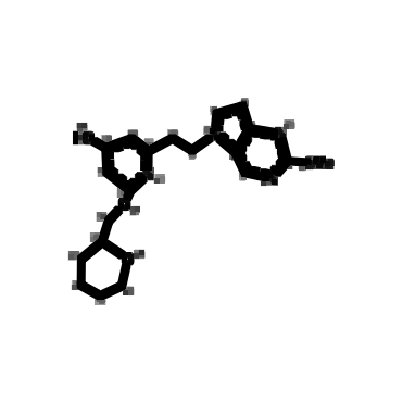 CSc1ncc2c(ccn2CCc2cc(O)cc(OCC3CCCCO3)n2)n1